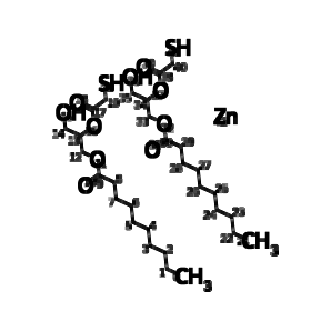 CCCCCCCCCC(=O)OCC(CO)OC(=O)CS.CCCCCCCCCC(=O)OCC(CO)OC(=O)CS.[Zn]